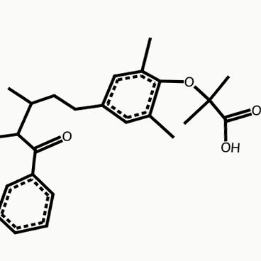 Cc1cc(CCC(C)C(C)C(=O)c2ccccc2)cc(C)c1OC(C)(C)C(=O)O